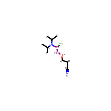 CC(C)N(C(C)C)P(Cl)POCCC#N